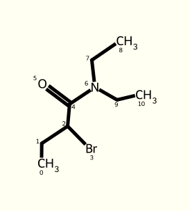 CCC(Br)C(=O)N(CC)CC